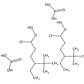 CCC(CCC(Cl)OO)C(C)(C)C.CCC(CCC(Cl)OO)C(C)(C)C.O=C(O)O.O=C(O)O